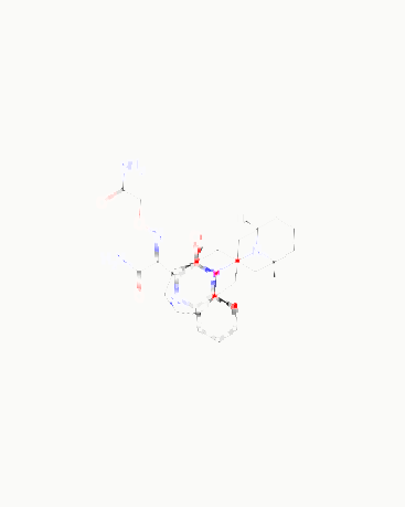 NC(=O)CO/N=C(\C(N)=O)c1nc2ccccc2n(C2C[C@H]3CCC[C@@H](C2)N3C2C[C@H]3CCCC[C@@H](C2)C3)c1=O